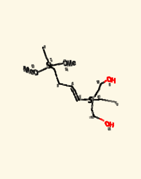 CO[Si](C)(C/C=C/[Si](C)(CO)CO)OC